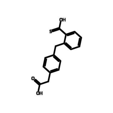 O=C(O)Cc1ccc(Cc2ccccc2C(O)=S)cc1